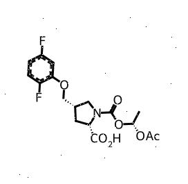 CC(=O)O[C@@H](C)OC(=O)N1C[C@@H](COc2cc(F)ccc2F)C[C@H]1C(=O)O